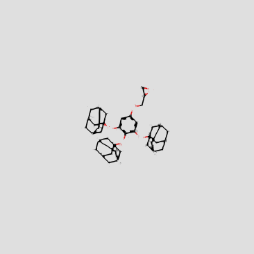 c1c(OCC2CO2)cc(OC23CC4CC(CC(C4)C2)C3)c(OC23CC4CC(CC(C4)C2)C3)c1OC12CC3CC(CC(C3)C1)C2